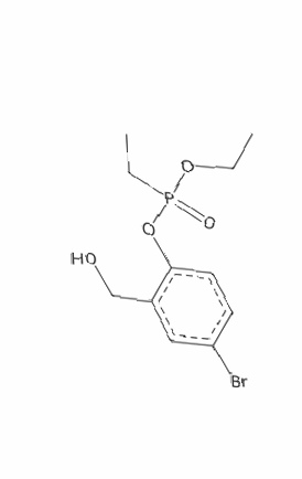 CCOP(=O)(CC)Oc1ccc(Br)cc1CO